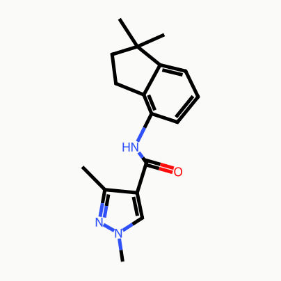 Cc1nn(C)cc1C(=O)Nc1cccc2c1CCC2(C)C